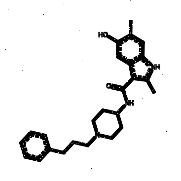 Cc1cc2[nH]c(C)c(C(=O)NC3CCN(CCCc4ccccc4)CC3)c2cc1O